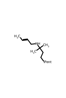 CC=CCNC(C)(C)CCC(C)CCC